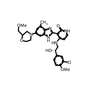 COCC1CN(c2cc(C)c3nc(-c4c(NC[C@@H](O)c5ccc(OC)c(Cl)c5)cc[nH]c4=O)[nH]c3c2)CCO1